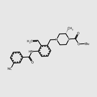 C=Cc1c(CN2CCN(C(=O)OC(C)(C)C)[C@@H](C)C2)cccc1NC(=O)c1cccc(C#N)c1